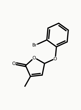 CC1=CC(Oc2ccccc2Br)OC1=O